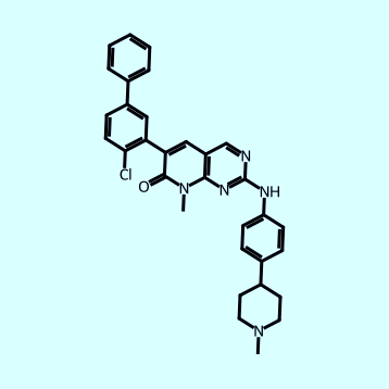 CN1CCC(c2ccc(Nc3ncc4cc(-c5cc(-c6ccccc6)ccc5Cl)c(=O)n(C)c4n3)cc2)CC1